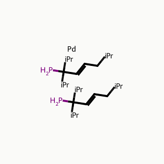 CC(C)CC=CC(P)(C(C)C)C(C)C.CC(C)CC=CC(P)(C(C)C)C(C)C.[Pd]